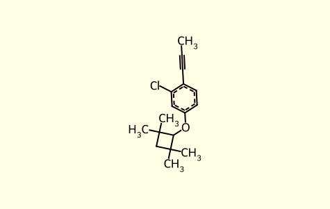 CC#Cc1ccc(OC2C(C)(C)CC2(C)C)cc1Cl